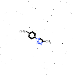 CCCCCCc1ccc(-n2cc(C)nn2)cc1